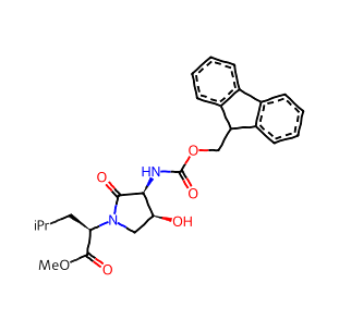 COC(=O)[C@@H](CC(C)C)N1C[C@H](O)[C@H](NC(=O)OCC2c3ccccc3-c3ccccc32)C1=O